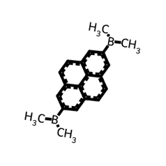 CB(C)c1cc2ccc3cc(B(C)C)cc4ccc(c1)c2c34